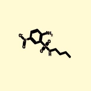 CCCCNS(=O)(=O)c1cc([N+](=O)[O-])ccc1N